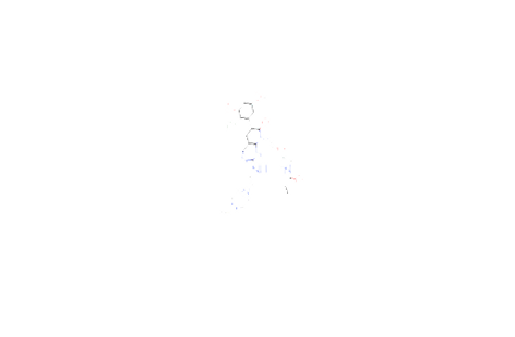 C=CC(=O)N1CC(OCCn2c(=O)c(-c3cc(OC)cc(OC)c3Cl)cc3cnc(NCCN4CCN(CC)CC4)nc32)C1